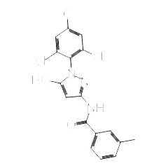 Cc1cccc(C(=O)Nc2cc(O)n(-c3c(Cl)cc(Cl)cc3Cl)n2)c1